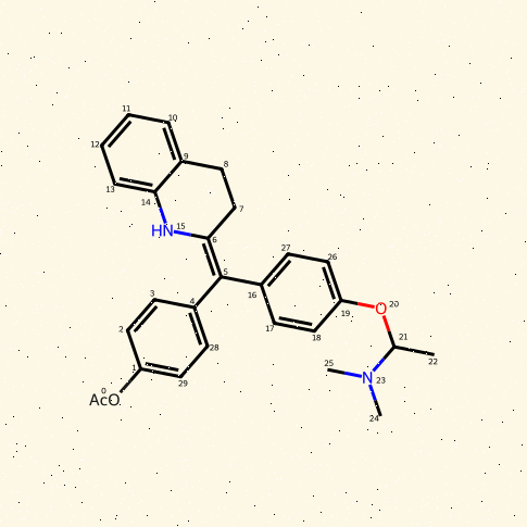 CC(=O)Oc1ccc(C(=C2CCc3ccccc3N2)c2ccc(OC(C)N(C)C)cc2)cc1